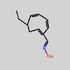 CCC1\C=C/C=C\C(\C=N\O)=C\C1